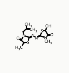 C=C(C)CN1C(=O)C(C)SC1=NN=C1SC(O)C(=O)N1C